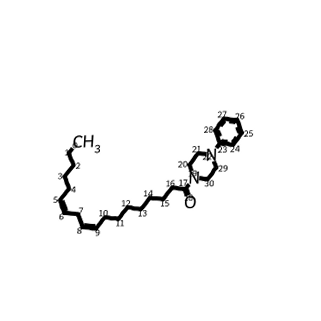 CCCCC/C=C\C/C=C\CCCCCCCC(=O)N1CCN(c2ccccc2)CC1